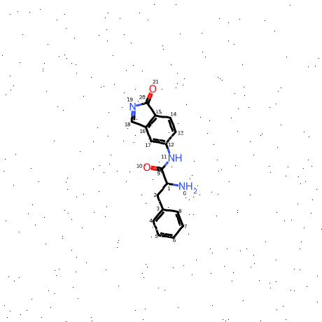 NC(Cc1ccccc1)C(=O)Nc1ccc2c(c1)C=NC2=O